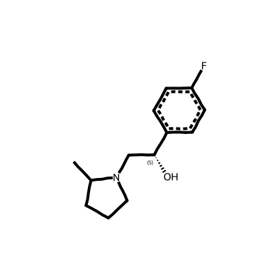 CC1CCCN1C[C@@H](O)c1ccc(F)cc1